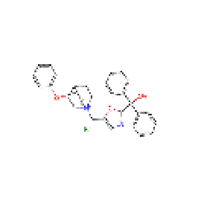 OC(c1ccccc1)(c1ccccc1)c1ncc(C[N+]23CCC(CC2)C(Oc2ccccc2)C3)o1.[Br-]